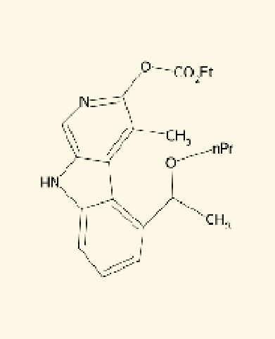 CCCOC(C)c1cccc2[nH]c3cnc(OC(=O)OCC)c(C)c3c12